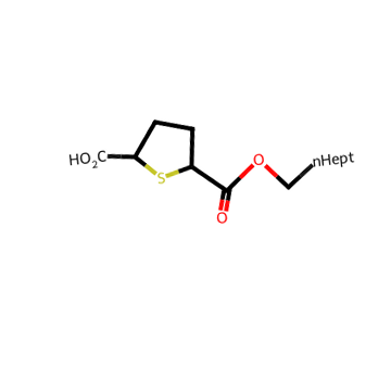 CCCCCCCCOC(=O)C1CCC(C(=O)O)S1